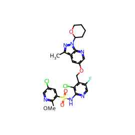 COc1ncc(Cl)cc1S(=O)(=O)Nc1ncc(F)c(COc2cnc3c(c2)c(C)nn3C2CCCCO2)c1Cl